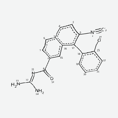 [C-]#[N+]c1ccc2ccc(C(=O)N=C(N)N)cc2c1-c1ccccc1Cl